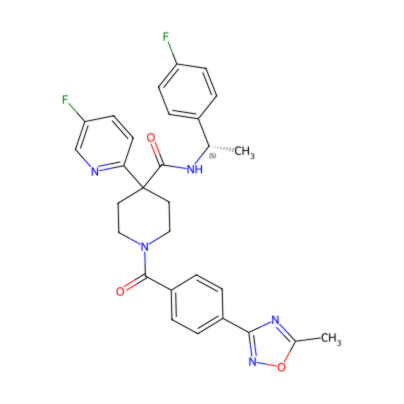 Cc1nc(-c2ccc(C(=O)N3CCC(C(=O)N[C@@H](C)c4ccc(F)cc4)(c4ccc(F)cn4)CC3)cc2)no1